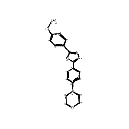 COc1ccc(-c2nnc(-c3ccc(N4CCOCC4)cc3)o2)cc1